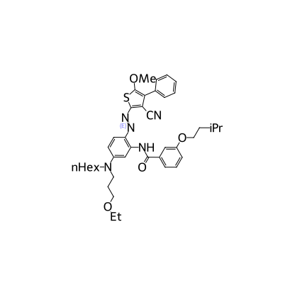 CCCCCCN(CCCOCC)c1ccc(/N=N/c2sc(OC)c(-c3ccccc3)c2C#N)c(NC(=O)c2cccc(OCCC(C)C)c2)c1